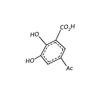 CC(=O)c1cc(O)c(O)c(C(=O)O)c1